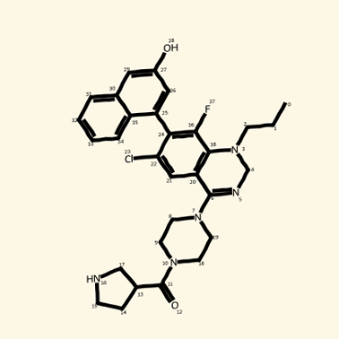 CCCN1CN=C(N2CCN(C(=O)C3CCNC3)CC2)c2cc(Cl)c(-c3cc(O)cc4ccccc34)c(F)c21